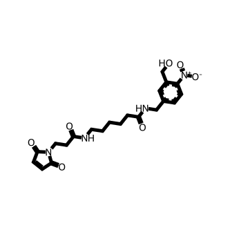 O=C(CCN1C(=O)C=CC1=O)NCCCCCC(=O)NCc1ccc([N+](=O)[O-])c(CO)c1